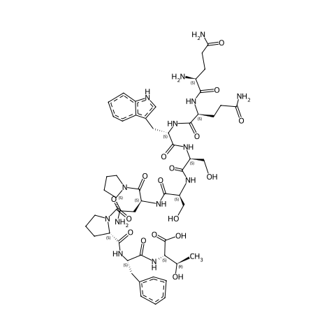 C[C@@H](O)[C@H](NC(=O)[C@H](Cc1ccccc1)NC(=O)[C@@H]1CCCN1C(=O)[C@@H]1CCCN1C(=O)[C@H](CC(N)=O)NC(=O)[C@H](CO)NC(=O)[C@H](CO)NC(=O)[C@H](Cc1c[nH]c2ccccc12)NC(=O)[C@H](CCC(N)=O)NC(=O)[C@@H](N)CCC(N)=O)C(=O)O